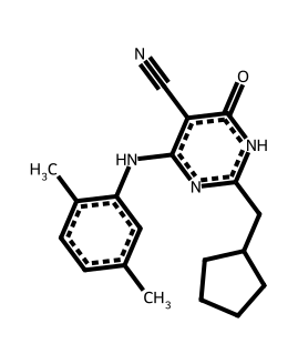 Cc1ccc(C)c(Nc2nc(CC3CCCC3)[nH]c(=O)c2C#N)c1